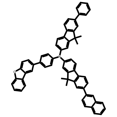 CC1(C)c2cc(-c3ccccc3)ccc2-c2ccc(N(c3ccc(-c4ccc5oc6ccccc6c5c4)cc3)c3ccc4c(c3)C(C)(C)c3cc(-c5ccc6ccccc6c5)ccc3-4)cc21